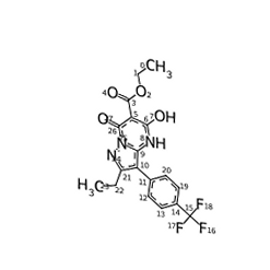 CCOC(=O)c1c(O)[nH]c2c(-c3ccc(C(F)(F)F)cc3)c(CC)nn2c1=O